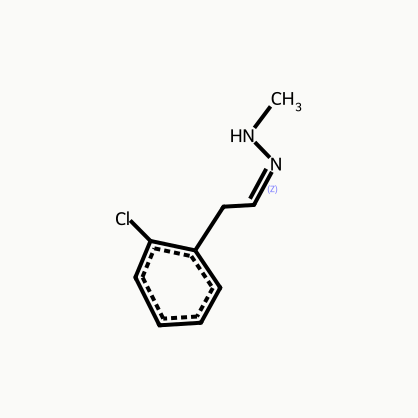 CN/N=C\Cc1ccccc1Cl